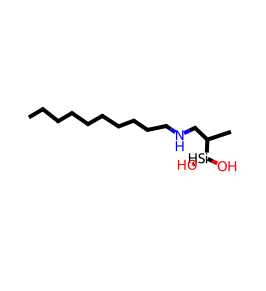 CCCCCCCCCCNCC(C)[SiH](O)O